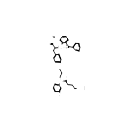 CCCCC(=O)N(CCCOc1ccc(CC(Nc2ccccc2C(=O)c2ccccc2)C(=O)OC)cc1)c1cccc(C)c1